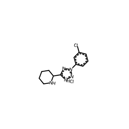 Cl.Clc1cccc(-n2nnc(C3CCCCN3)n2)c1